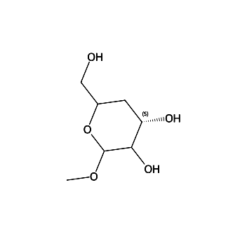 COC1OC(CO)C[C@H](O)C1O